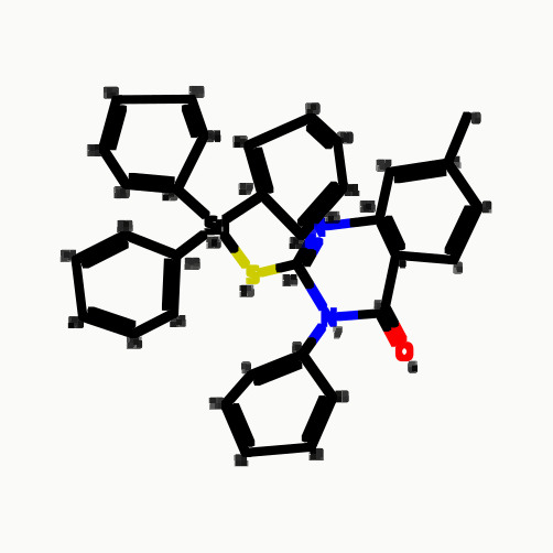 Cc1ccc2c(=O)n(-c3ccccc3)c([S][Sn]([c]3ccccc3)([c]3ccccc3)[c]3ccccc3)nc2c1